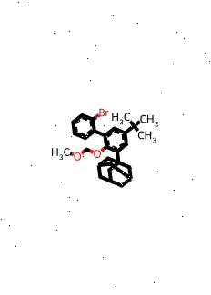 COCOc1c(-c2ccccc2Br)cc(C(C)(C)C)cc1C12CC3CC(CC(C3)C1)C2